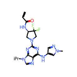 C=CC(=O)N[C@@H]1CN(c2nc(Nc3cnn(C)c3)c3ncn(C(C)C)c3n2)CC1(F)F